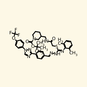 Cc1cccc(C)c1N=C(NN=Cc1ccc(-c2ncn(-c3ccc(OC(F)(F)F)cc3)n2)cc1)SCC(=O)NCC1CCCN(C(=O)OC(C)(C)C)C1